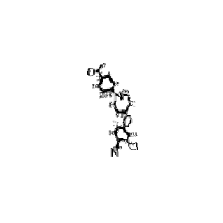 CC(=O)c1ccc(N2CCC(Oc3ccc(C#N)c(Cl)c3)CC2)cc1